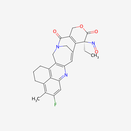 CC[C@@]1(N=O)C(=O)OCC2=C1C1=Cc3nc4cc(F)c(C)c5c4c(c3CN(C1)C2=O)CCC5